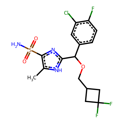 Cc1[nH]c(C(OCC2CC(F)(F)C2)c2ccc(F)c(Cl)c2)nc1S(N)(=O)=O